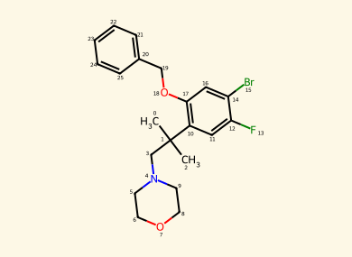 CC(C)(CN1CCOCC1)c1cc(F)c(Br)cc1OCc1ccccc1